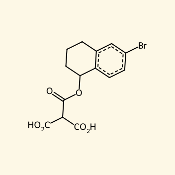 O=C(O)C(C(=O)O)C(=O)OC1CCCc2cc(Br)ccc21